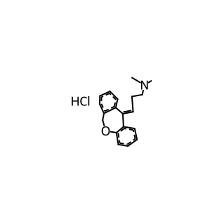 CN(C)CC/C=C1\c2ccccc2COc2ccccc21.Cl